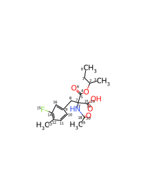 CCC(C)OC(=O)C(Cc1ccc(C)c(F)c1)(NC(C)=O)C(=O)O